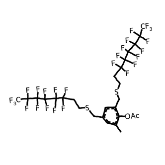 CC(=O)Oc1c(C)cc(CSCCC(F)(F)C(F)(F)C(F)(F)C(F)(F)C(F)(F)C(F)(F)F)cc1CSCCC(F)(F)C(F)(F)C(F)(F)C(F)(F)C(F)(F)C(F)(F)F